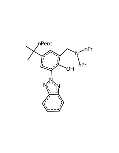 CCCCCC(C)(C)c1cc(CN(CCC)CCC)c(O)c(-n2nc3ccccc3n2)c1